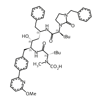 COc1cccc(-c2ccc(C[C@H](NC(=O)[C@@H](N(C)C(=O)O)C(C)(C)C)[C@H](O)C[C@H](Cc3ccccc3)NC(=O)[C@@H](N3CCN(Cc4ccccc4)C3=O)C(C)(C)C)cc2)n1